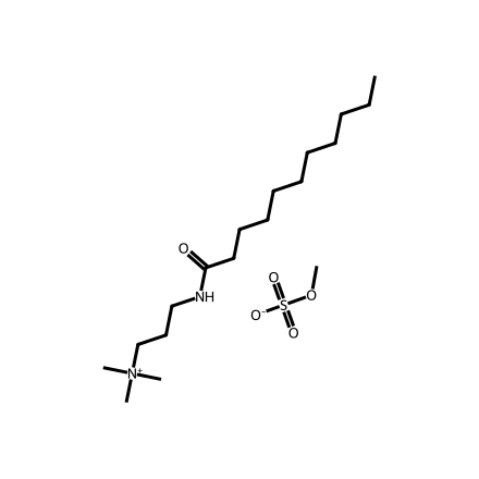 CCCCCCCCCCC(=O)NCCC[N+](C)(C)C.COS(=O)(=O)[O-]